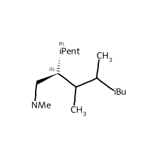 CCC[C@@H](C)[C@H](CNC)C(C)C(C)C(C)CC